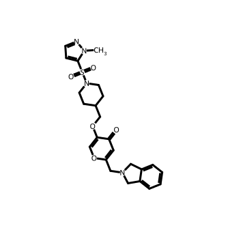 Cn1nccc1S(=O)(=O)N1CCC(COc2coc(CN3Cc4ccccc4C3)cc2=O)CC1